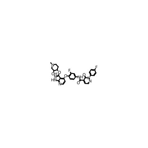 CN1CCC(Oc2n[nH]c3nccc(Oc4ccc(NC(=O)c5ccnn(-c6ccc(F)cc6)c5=O)cc4F)c23)C(O)C1